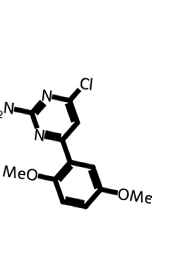 COc1ccc(OC)c(-c2cc(Cl)nc(N)n2)c1